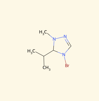 CC(C)C1N(Br)C=NN1C